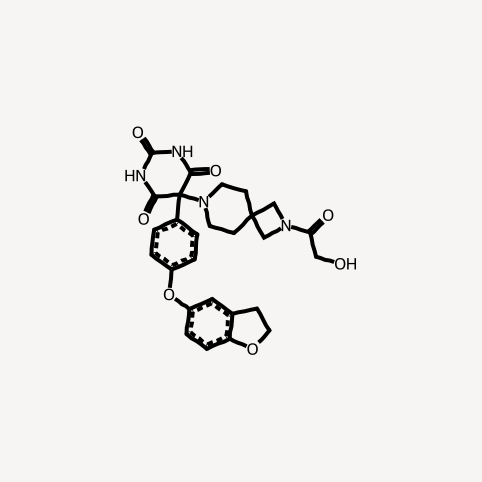 O=C1NC(=O)C(c2ccc(Oc3ccc4c(c3)CCO4)cc2)(N2CCC3(CC2)CN(C(=O)CO)C3)C(=O)N1